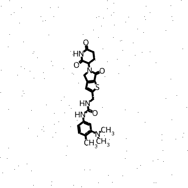 Cc1ccc(NC(=O)NCc2cc3c(s2)C(=O)N(C2CCC(=O)NC2=O)C3)cc1N(C)C